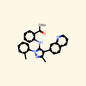 COC(=O)c1ccccc1Nc1c(-c2ccc3cccnc3c2)c(C)nn1-c1ccccc1C